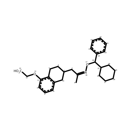 C/C(CC1CCc2c(cccc2OCC(=O)O)C1)=N/OC(c1ccccc1)C1CCCCC1